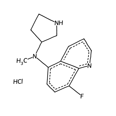 CN(c1ccc(F)c2ncccc12)C1CCNC1.Cl